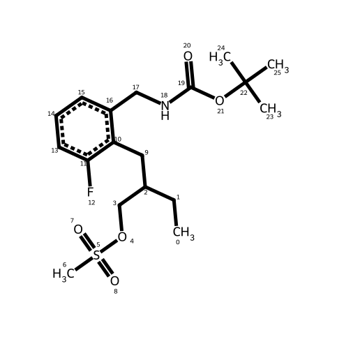 CCC(COS(C)(=O)=O)Cc1c(F)cccc1CNC(=O)OC(C)(C)C